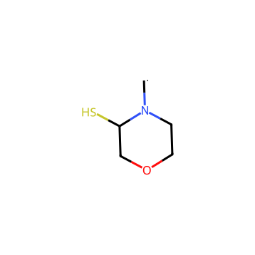 [CH2]N1CCOCC1S